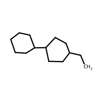 CCC1CC[C](C2CCCCC2)CC1